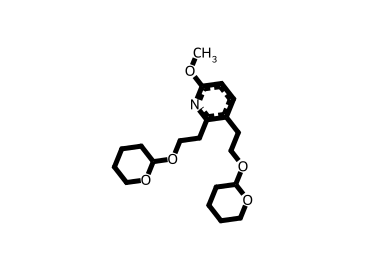 COc1ccc(CCOC2CCCCO2)c(CCOC2CCCCO2)n1